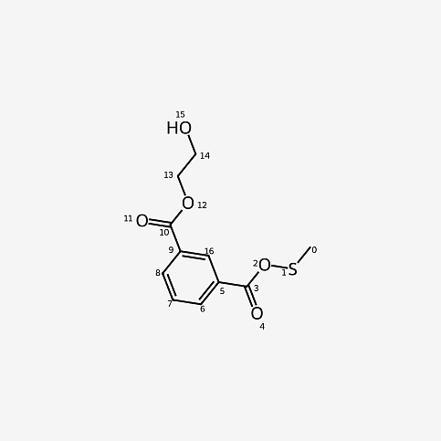 CSOC(=O)c1cccc(C(=O)OCCO)c1